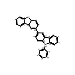 C1=CC2Sc3ccccc3C2C=C1c1ccc2c(c1)c1ccccc1n2-c1ccccc1